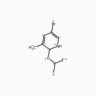 CC1=CC(Br)=CNC1OC(F)F